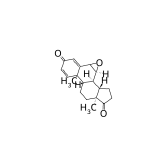 C[C@]12C=CC(=O)C=C1C1O[C@H]1[C@@H]1[C@@H]2CC[C@]2(C)C(=O)CC[C@@H]12